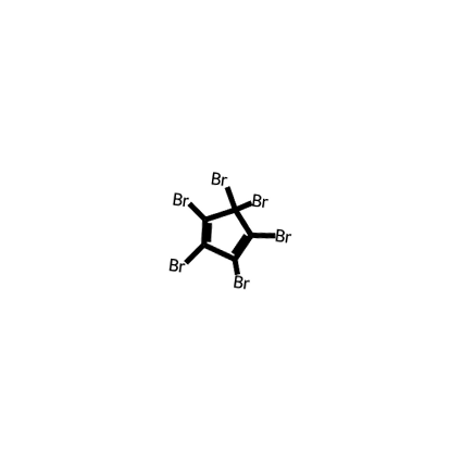 BrC1=C(Br)C(Br)(Br)C(Br)=C1Br